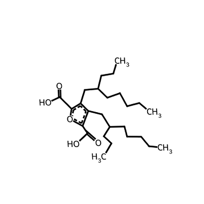 CCCCCC(CCC)Cc1c(C(=O)O)oc(C(=O)O)c1CC(CCC)CCCCC